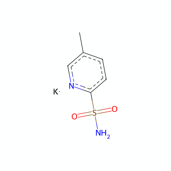 Cc1ccc(S(N)(=O)=O)nc1.[K]